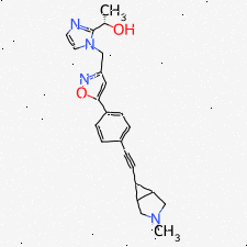 C[C@H](O)c1nccn1Cc1cc(-c2ccc(C#CC3C4CN(C)CC34)cc2)on1